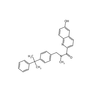 CN(Cc1ccc(C(C)(C)c2ccccc2)cc1)C(=O)c1ccc2cc(O)ccc2n1